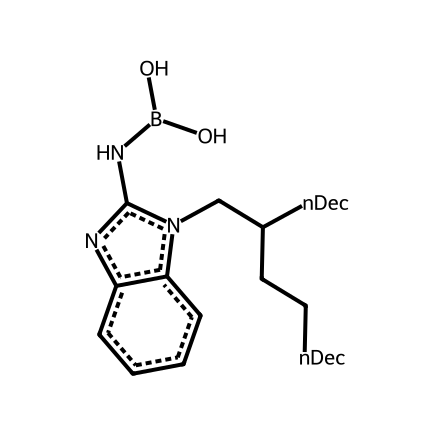 CCCCCCCCCCCCC(CCCCCCCCCC)Cn1c(NB(O)O)nc2ccccc21